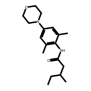 CCC(C)CC(=O)Nc1c(C)cc(N2CCOCC2)cc1C